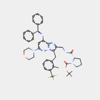 Cc1c(Cc2c(CNC(=O)[C@H]3CCCN3C(=O)OC(C)(C)C)nc3c(N=C(c4ccccc4)c4ccccc4)cc(N4CCOCC4)nn23)cccc1C(F)(F)F